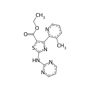 CCOC(=O)c1sc(Nc2ncccn2)nc1-c1ncccc1C